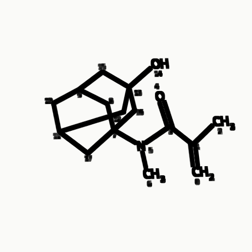 C=C(C)C(=O)N(C)C12CC3CC(CC(O)(C3)C1)C2